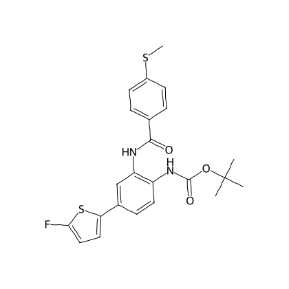 CSc1ccc(C(=O)Nc2cc(-c3ccc(F)s3)ccc2NC(=O)OC(C)(C)C)cc1